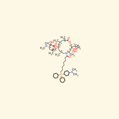 CC[C@H]1OC(=O)[C@H](C)C[C@H](C)[C@@H](O[C@@H]2O[C@H](C)C[C@H](N(C)C)[C@H]2O)[C@](C)(O)C[C@@H](C)CN(C(=O)CCCCCCC[PH](c2ccccc2)(c2ccccc2)c2ccc(N(C)C)cc2)[C@H](C)[C@@H](O)C1(O)CC